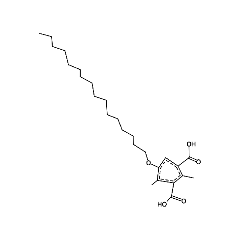 CCCCCCCCCCCCCCCCOc1cc(C(=O)O)c(C)c(C(=O)O)c1C